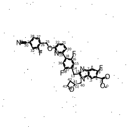 COC(=O)c1cc2c(cc1F)nc(Cc1cc(F)c(-c3cccc(OCc4ccc(C#N)cc4F)n3)cc1F)n2C[C@@H]1CCO1